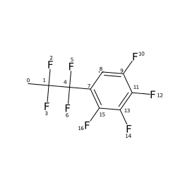 CC(F)(F)C(F)(F)c1[c]c(F)c(F)c(F)c1F